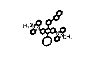 CN1c2ccccc2N(c2ccc3c(-c4cccc(-c5ccc6ccccc6c5)c4)c4cc(N5c6ccccc6N(C)c6ccccc65)ccc4c(/C4=C/C=C\C/C=C\C=C/C4)c3c2)c2ccccc21